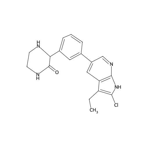 CCc1c(Cl)[nH]c2ncc(-c3cccc(C4NCCNC4=O)c3)cc12